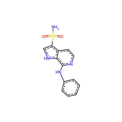 NS(=O)(=O)c1c[nH]c2c(Nc3ccccc3)nccc12